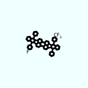 Fc1ccc(-c2c3c(c(-c4ccccc4)c4ccccc24)-c2ccc4c5ccc6c7c(ccc(c8ccc-3c2c84)c75)-c2c-6c(-c3ccc(C(F)(F)F)cc3)c3ccccc3c2-c2ccccc2)cc1